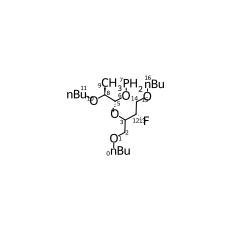 CCCCOCC(O[C@@H](OP)[C@H](C)OCCCC)[C@@H](F)COCCCC